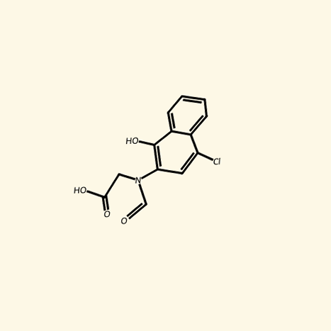 O=CN(CC(=O)O)c1cc(Cl)c2ccccc2c1O